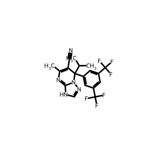 CC1=C(C#N)C(c2cc(C(F)(F)F)cc(C(F)(F)F)c2)(C(C)C)N2N=CNC2=N1